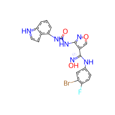 O=C(Nc1nocc1/C(=N/O)Nc1ccc(F)c(Br)c1)Nc1cccc2[nH]ccc12